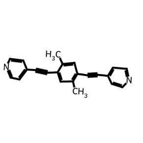 Cc1cc(C#Cc2ccncc2)c(C)cc1C#Cc1ccncc1